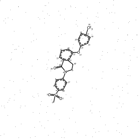 CS(=O)(=O)c1ccc(N2CCc3c(Oc4ccc(C(F)(F)F)cc4)cccc3C2=O)cc1